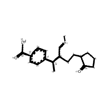 CN=CC(CCC1CCCC1=O)C(C)c1ccc(C(=O)O)cc1